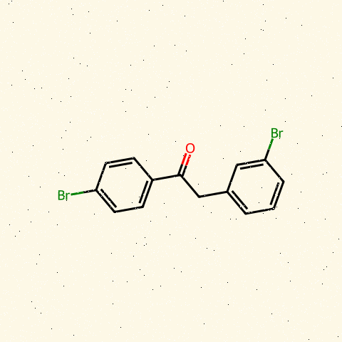 O=C(Cc1cccc(Br)c1)c1ccc(Br)cc1